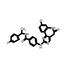 CC(NC(=O)c1ccc(Nc2ncc3c(n2)-c2ccc(Cl)cc2NC(=O)C3)cc1)c1ccc(F)cc1